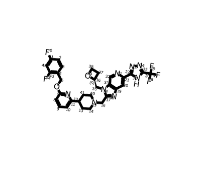 Fc1ccc(COc2cccc(C3CCN(Cc4nc5cc(-c6nnc(C(F)(F)F)[nH]6)ncc5n4C[C@@H]4CCO4)CC3)n2)c(F)c1